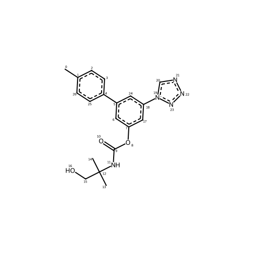 Cc1ccc(-c2cc(OC(=O)NC(C)(C)CO)cc(-n3cnnn3)c2)cc1